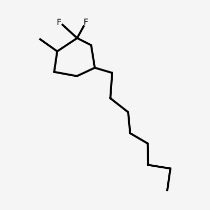 CCCCCCCCC1CCC(C)C(F)(F)C1